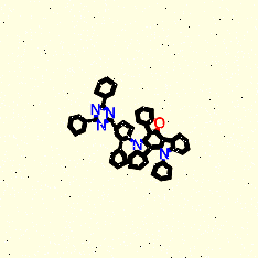 c1ccc(-c2nc(-c3ccccc3)nc(-c3ccc(-n4c5ccccc5c5c6c(c7ccccc7n6-c6ccccc6)c6oc7ccccc7c6c54)c(-c4ccccc4)c3)n2)cc1